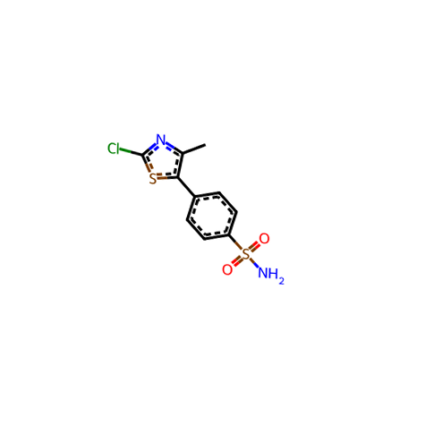 Cc1nc(Cl)sc1-c1ccc(S(N)(=O)=O)cc1